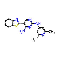 Cc1cc(Nc2ncc(-c3nc4ccccc4s3)c(N)n2)cc(C)n1